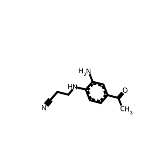 CC(=O)c1ccc(NCCC#N)c(N)c1